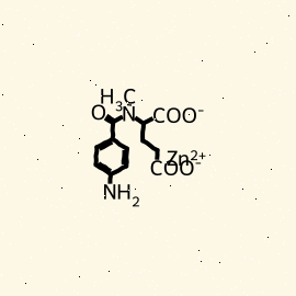 CN(C(=O)c1ccc(N)cc1)C(CCC(=O)[O-])C(=O)[O-].[Zn+2]